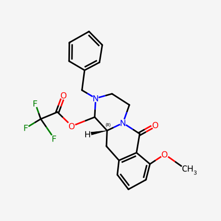 COc1cccc2c1C(=O)N1CCN(Cc3ccccc3)C(OC(=O)C(F)(F)F)[C@H]1C2